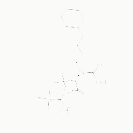 CC1(C)[C@@H](N(CCCCC2CCCCC2)C(=O)O)C(=O)N1C([Si](C)(C)C)[Si](C)(C)C